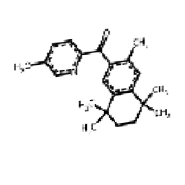 Cc1ccc(C(=O)c2cc3c(cc2C)C(C)(C)CCC3(C)C)nc1